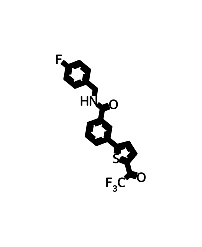 O=C(NCc1ccc(F)cc1)c1cccc(-c2ccc(C(=O)C(F)(F)F)s2)c1